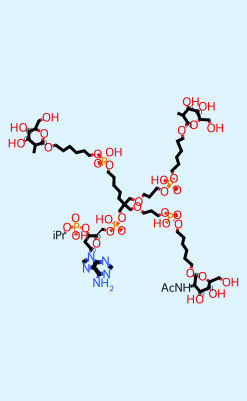 CC(=O)NC1[C@H](OCCCCCCOP(=O)(O)OCCCOCC(CCCCCOP(=O)(O)OCCCCCCO[C@@H]2OC(CO)[C@H](O)[C@H](O)C2C)(COCCCOP(=O)(O)OCCCCCCO[C@@H]2OC(CO)[C@H](O)[C@H](O)C2C)COP(=O)(O)OC[C@H]2O[C@@H](n3cnc4c(N)ncnc43)CC2OP(=O)(O)OC(C)C)OC(CO)[C@H](O)[C@@H]1O